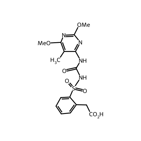 COc1nc(NC(=O)NS(=O)(=O)c2ccccc2CC(=O)O)c(C)c(OC)n1